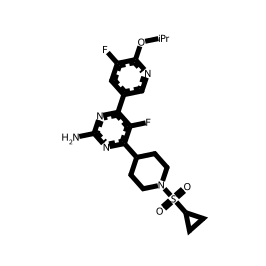 CC(C)Oc1ncc(-c2nc(N)nc(C3CCN(S(=O)(=O)C4CC4)CC3)c2F)cc1F